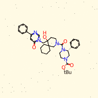 CC(C)(C)OC(=O)N1CCN(C(=O)N2CCC(O)(Cn3cnc(-c4ccccc4)cc3=O)C3(CCCCC3)C2)[C@H](c2ccccc2)C1